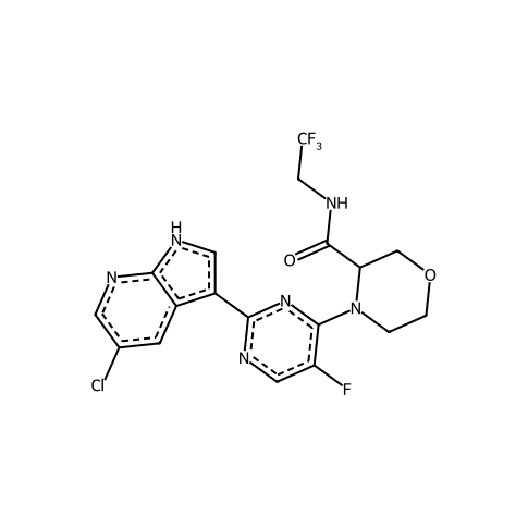 O=C(NCC(F)(F)F)C1COCCN1c1nc(-c2c[nH]c3ncc(Cl)cc23)ncc1F